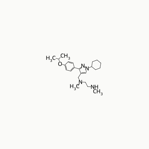 CNCCN(C)Cc1cn(C2CCCCC2)nc1-c1ccc(OC(C)C)cc1